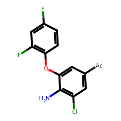 CC(=O)c1cc(Cl)c(N)c(Oc2ccc(F)cc2F)c1